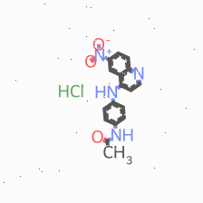 CC(=O)Nc1ccc(Nc2ccnc3ccc([N+](=O)[O-])cc23)cc1.Cl